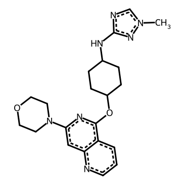 Cn1cnc(NC2CCC(Oc3nc(N4CCOCC4)cc4ncccc34)CC2)n1